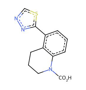 O=C(O)N1CCCc2c(-c3nncs3)cccc21